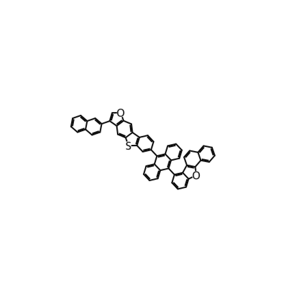 c1ccc2cc(-c3coc4cc5c(cc34)sc3cc(-c4c6ccccc6c(-c6cccc7oc8c9ccccc9ccc8c67)c6ccccc46)ccc35)ccc2c1